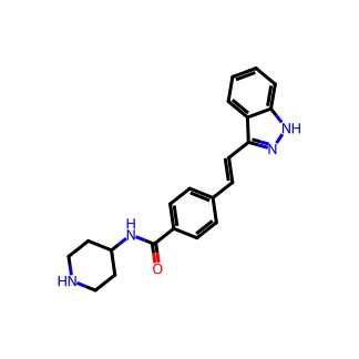 O=C(NC1CCNCC1)c1ccc(C=Cc2n[nH]c3ccccc23)cc1